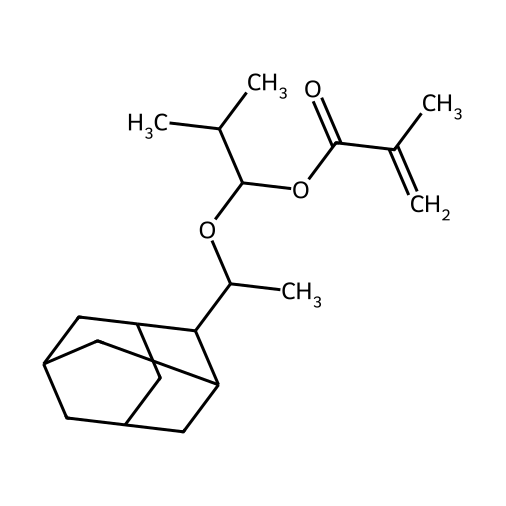 C=C(C)C(=O)OC(OC(C)C1C2CC3CC(C2)CC1C3)C(C)C